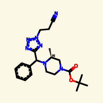 C[C@@H]1CN(C(=O)OC(C)(C)C)CCN1C(c1ccccc1)c1nnn(CCC#N)n1